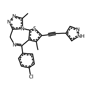 Cc1c(C#Cc2cn[nH]c2)sc2c1C(c1ccc(Cl)cc1)=NCc1nnc(C)n1-2